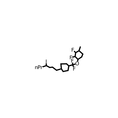 CCCC(I)CCCC1CCC(C(F)(F)OC2CCC(C)C(F)C2F)CC1